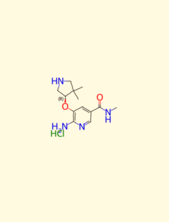 CNC(=O)c1cnc(N)c(O[C@H]2CNCC2(C)C)c1.Cl